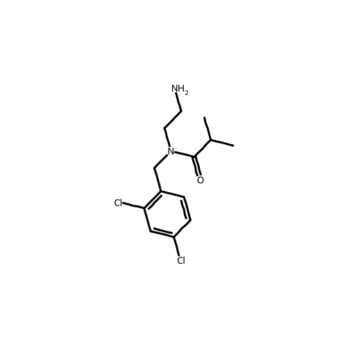 CC(C)C(=O)N(CCN)Cc1ccc(Cl)cc1Cl